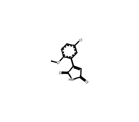 COc1ccc(Cl)cc1C1=CC(=O)NC1=O